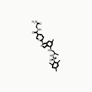 Cc1cc(C)c(S(=O)(=O)NC(C)CNc2cc(C)cc3c2cnn3-c2ccc(C(=O)NCC(N)=O)cc2)c(C)c1